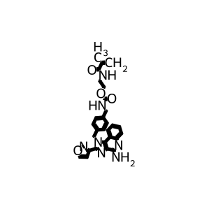 C=C(C)C(=O)NCCOC(=O)NCc1ccc(Cn2c(-c3ccon3)nc3c(N)nc4ccccc4c32)cc1